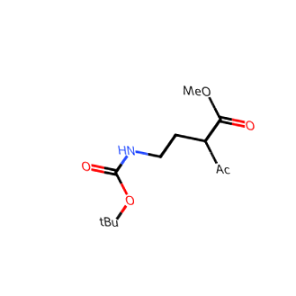 COC(=O)C(CCNC(=O)OC(C)(C)C)C(C)=O